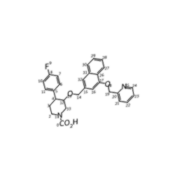 O=C(O)N1CCC(c2ccc(F)cc2)C(OCc2cc(OCc3ccccn3)c3ccccc3c2)C1